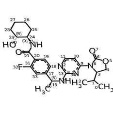 CC(C)C1COC(=O)N1c1ccnc(N[C@@H](C)c2ccc(C(=O)N[C@@H]3CCCC[C@H]3O)c(F)c2)n1